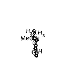 COc1cc2c(Oc3ccc4cc(NC(=O)c5ccccc5)ccc4c3)ccnc2cc1OCCN(C)C